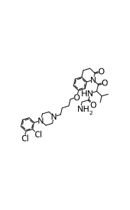 CC(C)C(NC(=O)CN)C(=O)N1C(=O)CCc2ccc(OCCCCN3CCN(c4cccc(Cl)c4Cl)CC3)cc21